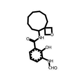 O=CNc1cccc(C(=O)NC2CCCCCCCC23COC3)c1O